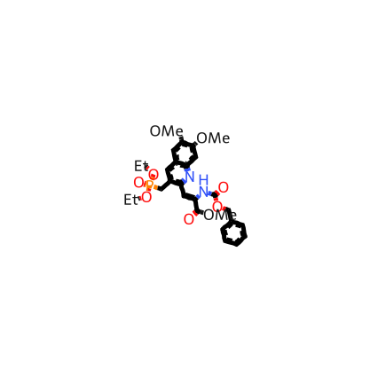 CCOP(=O)(Cc1cc2cc(OC)c(OC)cc2nc1C=C(NC(=O)OCc1ccccc1)C(=O)OC)OCC